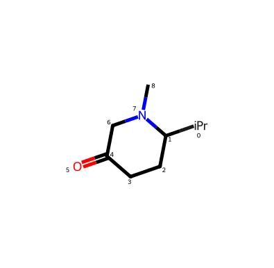 CC(C)C1CCC(=O)CN1C